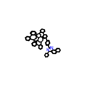 c1ccc(-c2nc(-c3ccc(-c4ccc5c(c4)C46CCC7CC8(CC9CC(CC(C4)c4ccccc4-5)(c4ccccc4-c4ccccc49)C68)c4ccccc4-c4ccccc47)cc3)nc3c2ccc2ccccc23)cc1